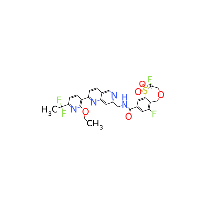 CCOc1nc(C(C)(F)F)ccc1-c1ccc2cnc(CNC(=O)c3cc(F)c4c(c3)S(=O)(=O)[C@@H](F)COC4)cc2n1